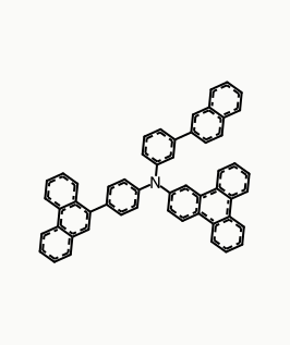 c1cc(-c2ccc3ccccc3c2)cc(N(c2ccc(-c3cc4ccccc4c4ccccc34)cc2)c2ccc3c4ccccc4c4ccccc4c3c2)c1